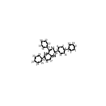 c1ccc(-c2ccc(-c3nc(-c4ccccc4)c4nc(-c5ccccc5)ccc4n3)cc2)cc1